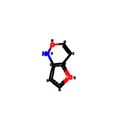 C1=Cc2occc2NO1